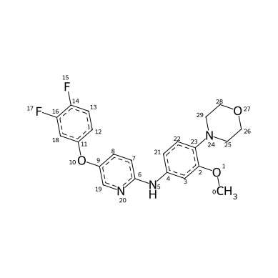 COc1cc(Nc2ccc(Oc3ccc(F)c(F)c3)cn2)ccc1N1CCOCC1